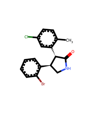 Cc1ccc(Cl)cc1[C@@H]1C(=O)NC[C@H]1c1ccccc1Br